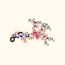 CC(C)OC(=O)OCOP(=O)(OCOC(=O)OC(C)C)OP(=O)(OCOC(=O)OC(C)C)OC[C@H]1O[C@@H](n2ccc(=O)n(Cc3noc4ccccc34)c2=O)C(O)[C@H]1O